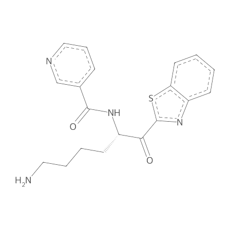 NCCCC[C@H](NC(=O)c1cccnc1)C(=O)c1nc2ccccc2s1